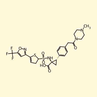 CN1CCN(C(=O)Cc2ccc([C@@H]3C[C@]3(NS(=O)(=O)C3CC=C(c4cc(C(F)(F)F)on4)S3)C(=O)O)cc2)CC1